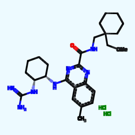 COCC1(CNC(=O)c2nc(N[C@H]3CCCC[C@H]3NC(=N)N)c3cc(C)ccc3n2)CCCCC1.Cl.Cl